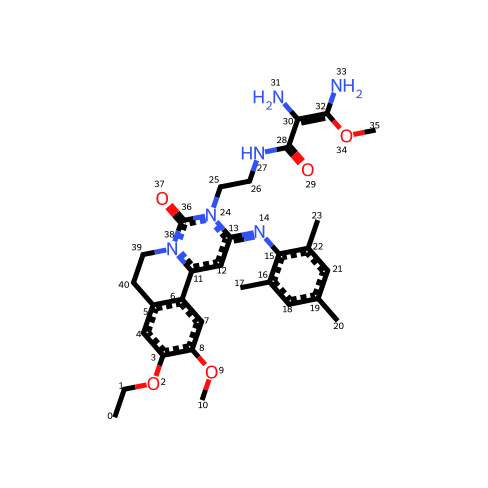 CCOc1cc2c(cc1OC)-c1c/c(=N\c3c(C)cc(C)cc3C)n(CCNC(=O)/C(N)=C(/N)OC)c(=O)n1CC2